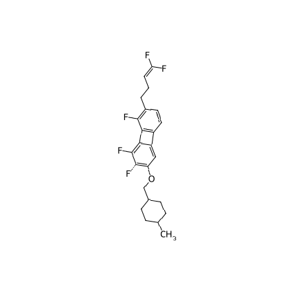 CC1CCC(COc2cc3c(c(F)c2F)-c2c-3ccc(CCC=C(F)F)c2F)CC1